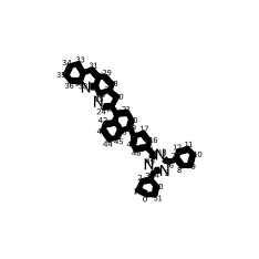 c1ccc(-c2nc(-c3ccccc3)nc(-c3ccc(-c4ccc(-c5cnc6c(ccc7cc8ccccc8nc76)c5)c5ccccc45)cc3)n2)cc1